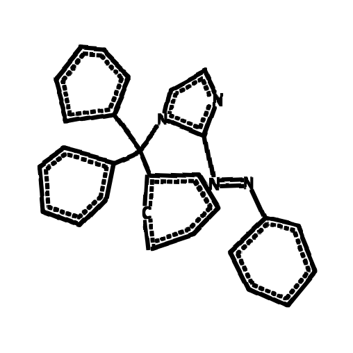 c1ccc(/N=N/c2nccn2C(c2ccccc2)(c2ccccc2)c2ccccc2)cc1